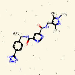 Cc1nn(C)c(C)c1CNC(=O)c1cc(C(=O)N[C@@H](C)c2ccc(-c3nnn[nH]3)cc2)ncn1